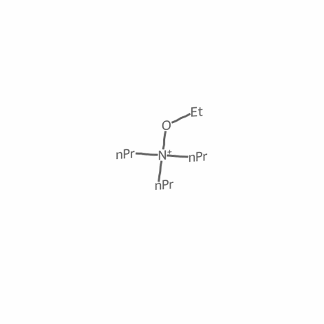 CCC[N+](CCC)(CCC)OCC